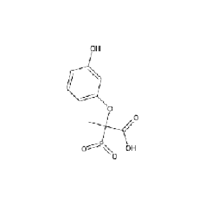 CC(Oc1cccc(O)c1)(C(=O)O)P(=O)=O